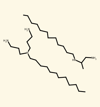 CCCCCCCCCCCCN(CCCN)CCCN.CCCCCCCCCCCCNC(C)CN